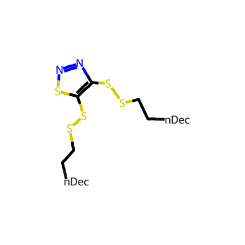 CCCCCCCCCCCCSSc1nnsc1SSCCCCCCCCCCCC